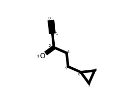 C#CC(=O)CCC1CC1